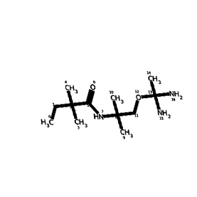 CCC(C)(C)C(=O)NC(C)(C)COC(C)(N)N